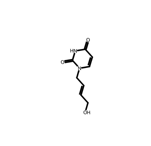 O=c1ccn(CC=CCO)c(=O)[nH]1